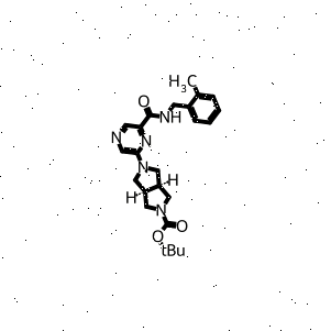 Cc1ccccc1CNC(=O)c1cncc(N2C[C@H]3CN(C(=O)OC(C)(C)C)C[C@H]3C2)n1